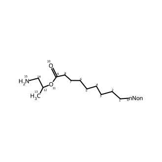 CCCCCCCCCCCCCCCCCC(=O)OC(C)CN